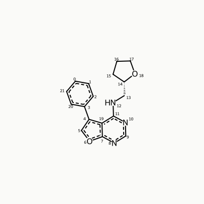 c1ccc(-c2coc3ncnc(NC[C@@H]4CCCO4)c23)cc1